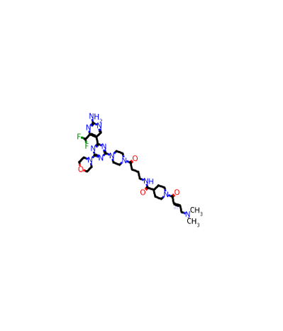 CN(C)C/C=C/C(=O)N1CCC(C(=O)NCCCC(=O)N2CCN(c3nc(-c4cnc(N)nc4C(F)F)nc(N4CCOCC4)n3)CC2)CC1